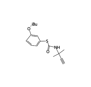 C#CC(C)(C)NC(=O)Sc1cccc(O[C@@H](C)CC)c1